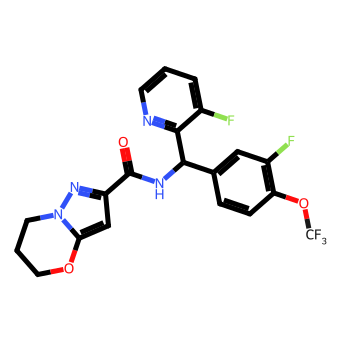 O=C(NC(c1ccc(OC(F)(F)F)c(F)c1)c1ncccc1F)c1cc2n(n1)CCCO2